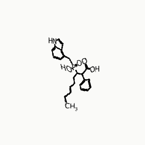 CCCCCCC(C(C(=O)O)c1ccccc1)P(=O)(O)Cc1cccc2[nH]ccc12